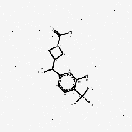 O=C(O)N1CC(C(O)c2ccc(C(F)(F)F)c(Cl)n2)C1